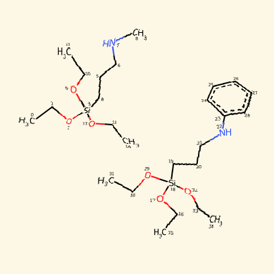 CCO[Si](CCCNC)(OCC)OCC.CCO[Si](CCCNc1ccccc1)(OCC)OCC